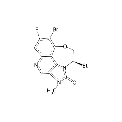 CC[C@@H]1COc2c(Br)c(F)cc3ncc4c(c23)n1c(=O)n4C